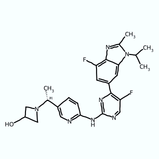 Cc1nc2c(F)cc(-c3nc(Nc4ccc([C@@H](C)N5CC(O)C5)cn4)ncc3F)cc2n1C(C)C